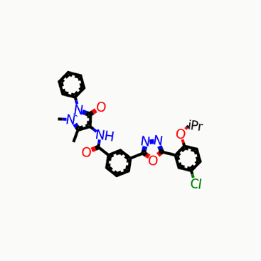 Cc1c(NC(=O)c2cccc(-c3nnc(-c4cc(Cl)ccc4OC(C)C)o3)c2)c(=O)n(-c2ccccc2)n1C